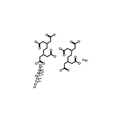 O=C([O-])CN(CCN(CC(=O)[O-])CC(=O)[O-])CC(=O)[O-].O=C([O-])CN(CCN(CC(=O)[O-])CC(=O)[O-])CC(=O)[O-].[Fe+3].[Fe+3].[Fe+3].[H-].[H-].[H-].[H-].[NH4+].[NH4+].[NH4+]